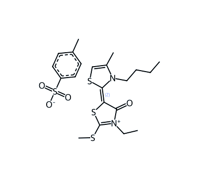 CCCCN1C(C)=CS/C1=C1\SC(SC)=[N+](CC)C1=O.Cc1ccc(S(=O)(=O)[O-])cc1